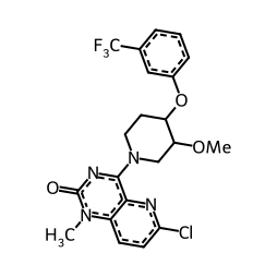 COC1CN(c2nc(=O)n(C)c3ccc(Cl)nc23)CCC1Oc1cccc(C(F)(F)F)c1